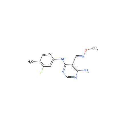 CON=Cc1c(N)ncnc1Nc1ccc(C)c(F)c1